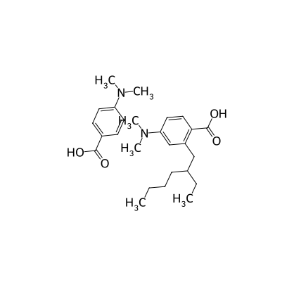 CCCCC(CC)Cc1cc(N(C)C)ccc1C(=O)O.CN(C)c1ccc(C(=O)O)cc1